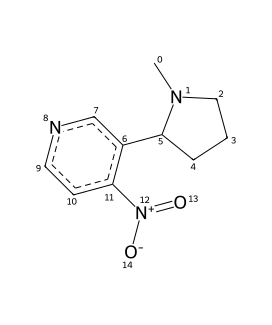 CN1CCCC1c1cnccc1[N+](=O)[O-]